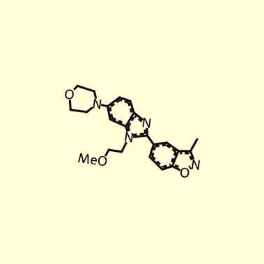 COCCn1c(-c2ccc3onc(C)c3c2)nc2ccc(N3CCOCC3)cc21